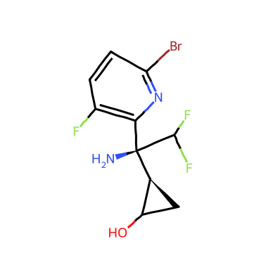 N[C@@](c1nc(Br)ccc1F)(C(F)F)[C@H]1CC1O